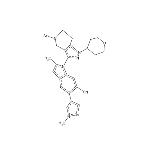 CC(=O)N1CCc2c(c(-n3c(C)cc4cc(-c5cnn(C)c5)c(C#N)cc43)nn2C2CCOCC2)C1